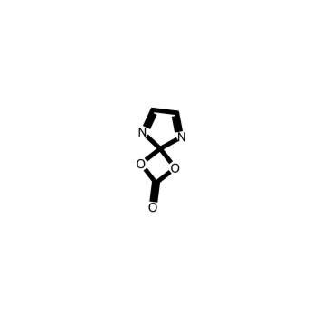 O=C1OC2(N=CC=N2)O1